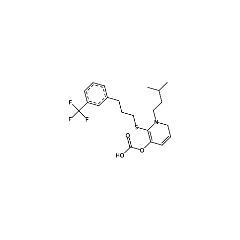 CC(C)CCN1CC=CC(OC(=O)O)=C1SCCCc1cccc(C(F)(F)F)c1